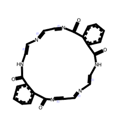 O=C1/N=C/C=N/C=C/NC(=O)c2ccccc2C(=O)/N=C/C=N/C=C/NC(=O)c2ccccc21